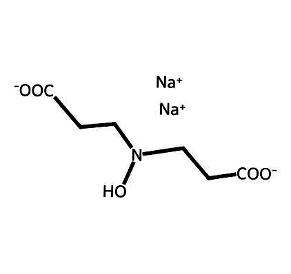 O=C([O-])CCN(O)CCC(=O)[O-].[Na+].[Na+]